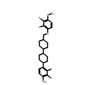 CCOc1ccc(OCC2CCC(C3CCC(c4ccc(C)c(F)c4F)CC3)CC2)c(F)c1F